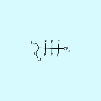 CCOC(C(F)(F)F)C(F)(F)C(F)(F)C(F)(F)C(F)(F)F